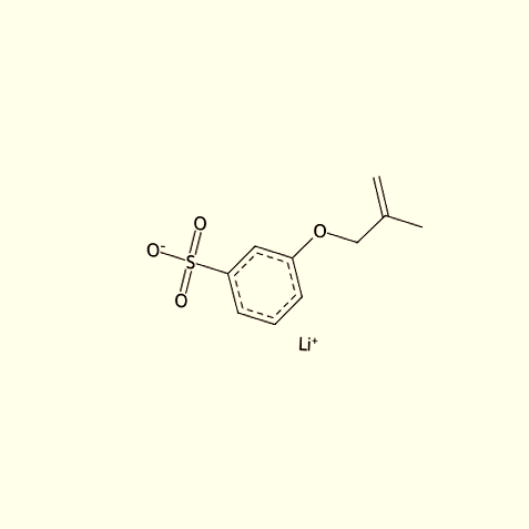 C=C(C)COc1cccc(S(=O)(=O)[O-])c1.[Li+]